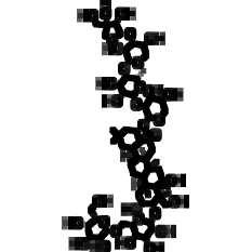 C[C@@H]1O[C@@H](O[C@H]2[C@H](OC(=O)[C@]34CCC(C)(C)C[C@H]3C3=CC[C@@H]5[C@@]6(C)C[C@H](O)[C@H](O[C@@H]7O[C@H](CO[C@@H]8O[C@H](CO)[C@@H](O)[C@H](O)[C@H]8O)[C@@H](O)[C@H](O)[C@H]7O)[C@@](C)(CO)[C@@H]6[C@H](O)C[C@@]5(C)[C@]3(C)CC4)OC[C@H](O)[C@@H]2O)[C@H](O)[C@H](O)[C@H]1O[C@@H]1OC[C@@H](O)[C@H](O[C@@H]2OC[C@](O)(CO)[C@H]2O)[C@H]1O